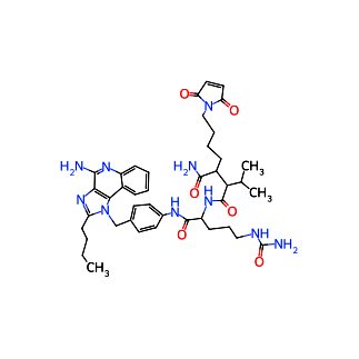 CCCCc1nc2c(N)nc3ccccc3c2n1Cc1ccc(NC(=O)C(CCCNC(N)=O)NC(=O)C(C(C)C)C(CCCCN2C(=O)C=CC2=O)C(N)=O)cc1